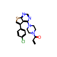 C=CC(=O)N1CCN(c2ncnc3scc(-c4ccc(Cl)cc4)c23)CC1